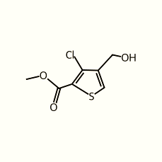 COC(=O)c1scc(CO)c1Cl